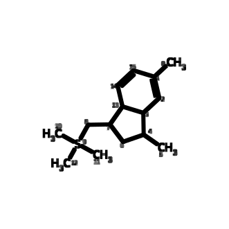 CC1=CC2C(C)CC(CS(C)(C)C)C2C=C1